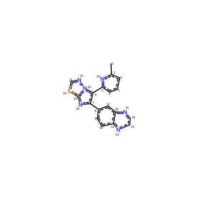 Cc1cccc(-c2c(-c3ccc4nccnc4c3)nc3scnn23)n1